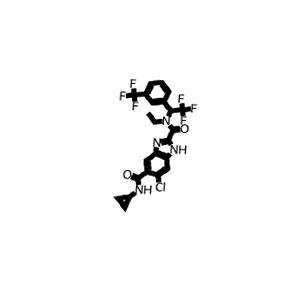 CCN(C(=O)c1nc2cc(C(=O)NC3CC3)c(Cl)cc2[nH]1)C(c1cccc(C(F)(F)F)c1)C(F)(F)F